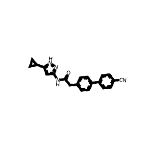 N#Cc1ccc(-c2ccc(CC(=O)Nc3cc(C4CC4)[nH]n3)cc2)cc1